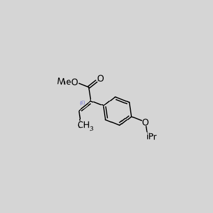 C/C=C(/C(=O)OC)c1ccc(OC(C)C)cc1